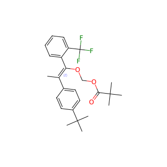 C/C(=C(/OCOC(=O)C(C)(C)C)c1ccccc1C(F)(F)F)c1ccc(C(C)(C)C)cc1